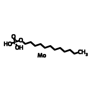 CCCCCCCCCCCCOP(=O)(O)O.[Mo]